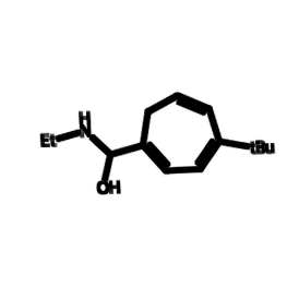 CCNC(O)C1=CC=C(C(C)(C)C)C=CC1